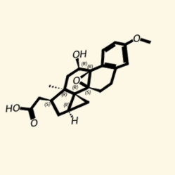 COc1ccc2c(c1)CC[C@@]13O[C@@]21[C@H](O)C[C@]1(C)[C@H](CC(=O)O)C[C@@H]2C[C@]231